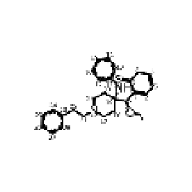 COC(C1=CC=CCC1=S)C1(Nc2ccccc2)CCN(CCc2ccccc2)CC1